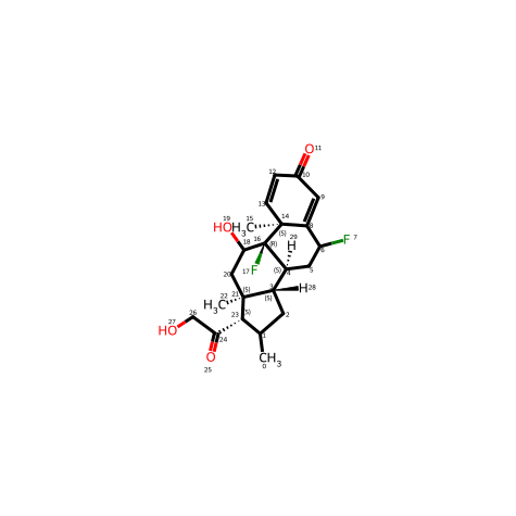 CC1C[C@H]2[C@@H]3CC(F)C4=CC(=O)C=C[C@]4(C)[C@@]3(F)C(O)C[C@]2(C)[C@H]1C(=O)CO